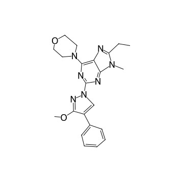 CCc1nc2c(N3CCOCC3)nc(-n3cc(-c4ccccc4)c(OC)n3)nc2n1C